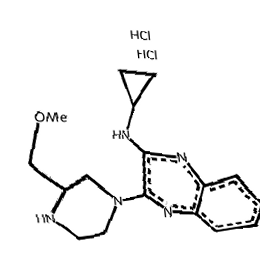 COCC1CN(c2nc3ccccc3nc2NC2CC2)CCN1.Cl.Cl